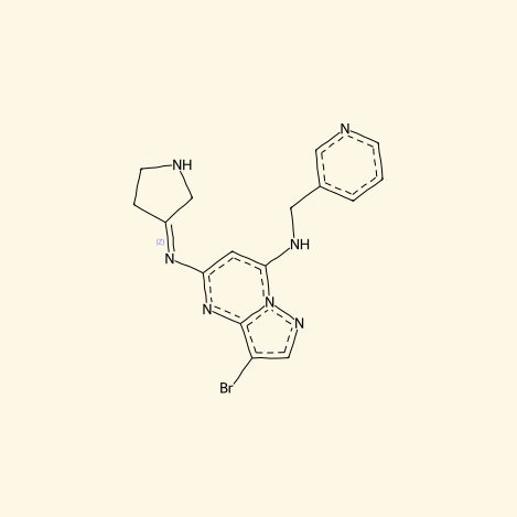 Brc1cnn2c(NCc3cccnc3)cc(/N=C3/CCNC3)nc12